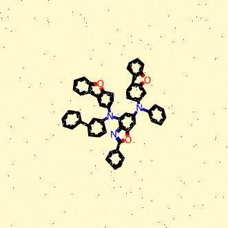 c1ccc(-c2cccc(N(c3ccc4oc5ccccc5c4c3)c3cc(N(c4ccccc4)c4ccc5c(c4)oc4ccccc45)cc4oc(-c5ccccc5)nc34)c2)cc1